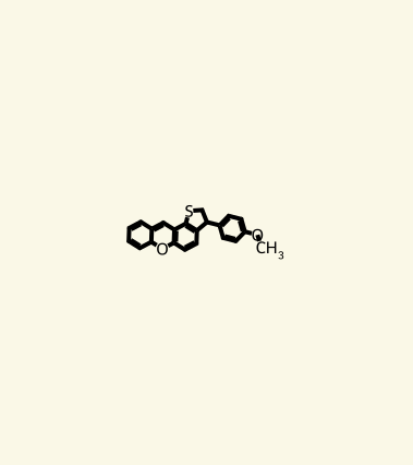 COc1ccc(C2CSc3c2ccc2c3C=C3C=CC=CC3O2)cc1